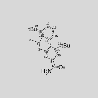 CC(Cc1cc(C(N)=O)cc(C(C)(C)C)c1)c1ccccc1C(C)(C)C